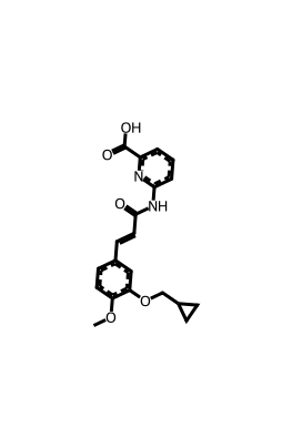 COc1ccc(/C=C/C(=O)Nc2cccc(C(=O)O)n2)cc1OCC1CC1